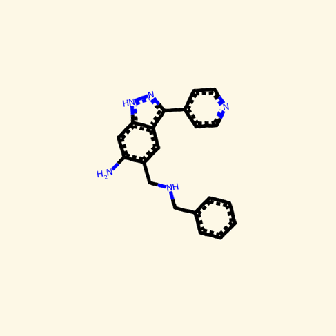 Nc1cc2[nH]nc(-c3ccncc3)c2cc1CNCc1ccccc1